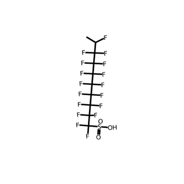 CC(F)C(F)(F)C(F)(F)C(F)(F)C(F)(F)C(F)(F)C(F)(F)C(F)(F)C(F)(F)S(=O)(=O)O